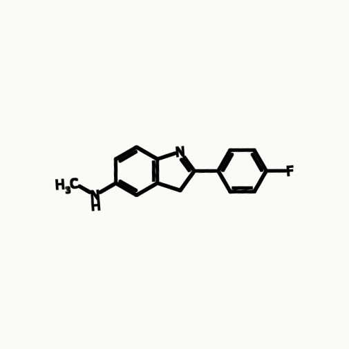 CNc1ccc2c(c1)CC(c1ccc(F)cc1)=N2